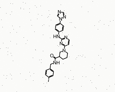 Cc1ccc(CNC(=O)C2CCCN(c3ccnc(Nc4ccc(-n5cncn5)cc4)n3)C2)cc1